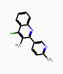 Cc1ccc(-c2nc3ccccc3c(F)c2C)cn1